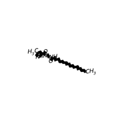 CCC=CCC=CCC=CCC=CCC=CCCCC(=O)NCCNC(=O)c1cncc(C)c1